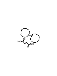 C1=C(C2=NNCCCCCCCC2)CCCCCCCCC1.O=C(O)C=CC(=O)O